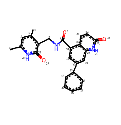 Cc1cc(C)c(CNC(=O)c2cc(-c3ccccc3)cc3[nH]c(=O)ccc23)c(=O)[nH]1